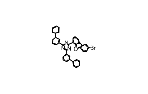 Brc1ccc2oc3c(-c4nc(C5=CC(C6C=CC=CC6)CC=C5)nc(-c5cccc(-c6ccccc6)c5)n4)cccc3c2c1